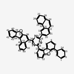 c1ccc(-c2cccc3c2oc2cccc(-c4nc(-c5ccc6ccc7ccccc7c6c5)nc(-c5cc6oc7ccccc7c6c6ccccc56)n4)c23)cc1